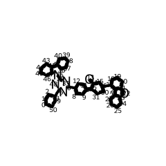 c1ccc(-c2nc(-c3ccc4c(c3)oc3cc(-c5cccc6oc7ccccc7c56)ccc34)nc(-n3c4ccccc4c4ccccc43)n2)cc1